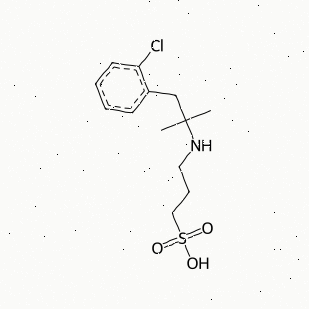 CC(C)(Cc1ccccc1Cl)NCCCS(=O)(=O)O